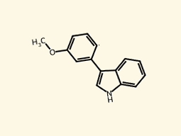 COc1cc[c]c(-c2c[nH]c3ccccc23)c1